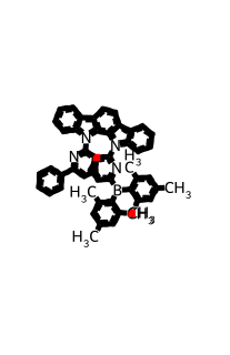 Cc1cc(C)c(B(c2cccc(-n3c4ccccc4c4ccc5c6ccccc6n(-c6cccc(-c7ccccc7)n6)c5c43)n2)c2c(C)cc(C)cc2C)c(C)c1